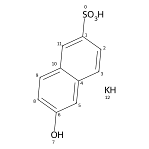 O=S(=O)(O)c1ccc2cc(O)ccc2c1.[KH]